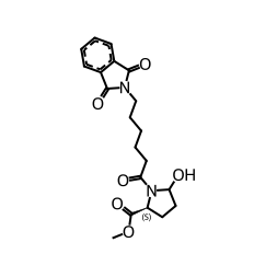 COC(=O)[C@@H]1CCC(O)N1C(=O)CCCCCN1C(=O)c2ccccc2C1=O